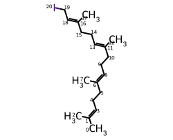 CC(C)=CCC/C(C)=C/CCC(C)=CCC/C(C)=C/CI